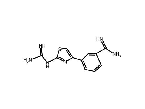 N=C(N)Nc1nc(-c2cccc(C(=N)N)c2)cs1